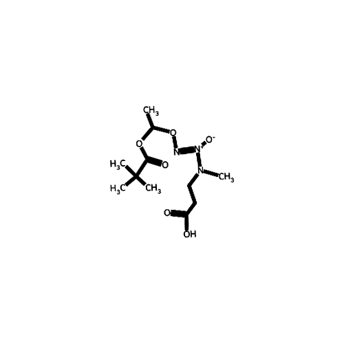 CC(ON=[N+]([O-])N(C)CCC(=O)O)OC(=O)C(C)(C)C